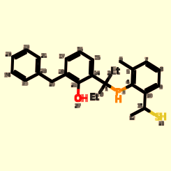 CCC(CC)(Pc1c(C)cccc1C(C)S)c1cccc(Cc2ccccc2)c1O